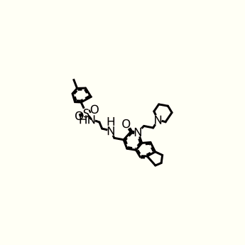 Cc1ccc(S(=O)(=O)NCCNCc2cc3cc4c(cc3n(CCN3CCCCC3)c2=O)CCC4)cc1